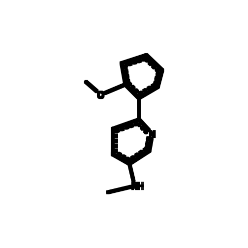 CNc1ccc(-c2ccccc2OC)nc1